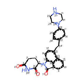 O=C1CCC(N2C(=O)c3cccc4c(Cc5ccc(N6CCNCC6)cc5)ccc2c34)C(=O)N1